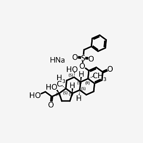 C[C@@]12C(=CC(=O)C=C1OS(=O)(=O)Cc1ccccc1)CC[C@@H]1[C@@H]2[C@@H](O)C[C@@]2(C)[C@H]1CC[C@]2(O)C(=O)CO.[NaH]